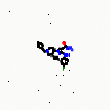 C[C@@H]1CN(CC2CCC2)CC[C@H]1n1cc(C(N)=O)c(Nc2ccc(F)cc2)n1